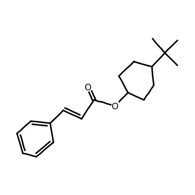 CC(C)(C)C1CCC(OC(=O)C=Cc2ccccc2)CC1